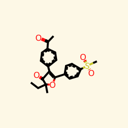 CCC1(C)OC(c2ccc(S(C)(=O)=O)cc2)=C(c2ccc(C(C)=O)cc2)C1=O